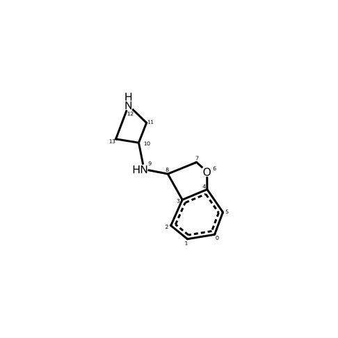 c1ccc2c(c1)OCC2NC1CNC1